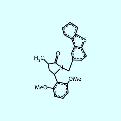 COc1cccc(OC)c1C1CC(C)C(=O)N1Cc1ccc2sc3ccccc3c2c1